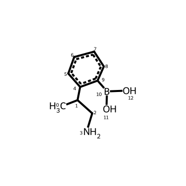 CC(CN)c1ccccc1B(O)O